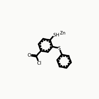 O=C(Cl)c1ccc(S)c(Sc2ccccc2)c1.[Zn]